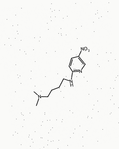 CN(C)CC[CH]CNc1ccc([N+](=O)[O-])cn1